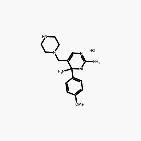 COc1ccc(C2(N)NC(N)=NC=C2CN2CCNCC2)cc1.Cl